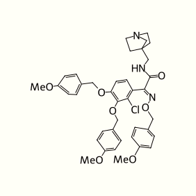 COc1ccc(CO/N=C(/C(=O)NCC23CCN(CC2)C3)c2ccc(OCc3ccc(OC)cc3)c(OCc3ccc(OC)cc3)c2Cl)cc1